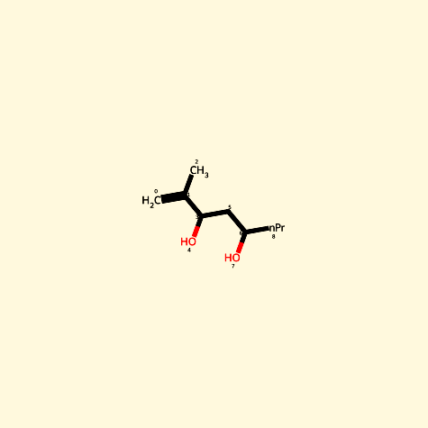 C=C(C)C(O)CC(O)CCC